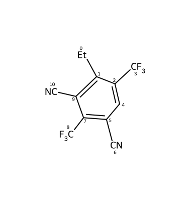 CCc1c(C(F)(F)F)cc(C#N)c(C(F)(F)F)c1C#N